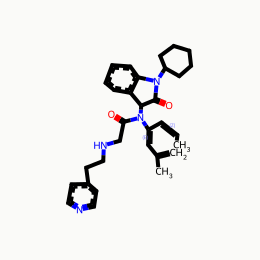 C=C(C)/C=C(\C=C/C)N(C(=O)CNCCc1ccncc1)C1C(=O)N(C2CCCCC2)c2ccccc21